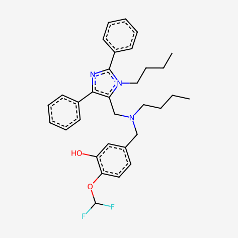 CCCCN(Cc1ccc(OC(F)F)c(O)c1)Cc1c(-c2ccccc2)nc(-c2ccccc2)n1CCCC